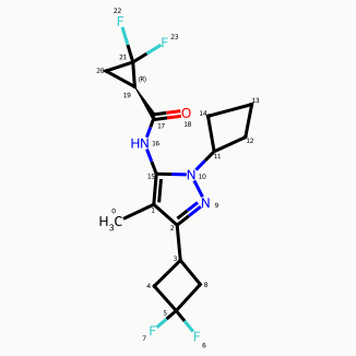 Cc1c(C2CC(F)(F)C2)nn(C2CCC2)c1NC(=O)[C@H]1CC1(F)F